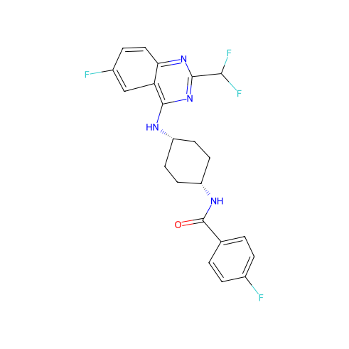 O=C(N[C@H]1CC[C@@H](Nc2nc(C(F)F)nc3ccc(F)cc23)CC1)c1ccc(F)cc1